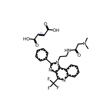 CN(C)CC(=O)NCCn1c(-c2ccccc2)nc2c(C(F)(F)F)nc3ccccc3c21.O=C(O)/C=C/C(=O)O